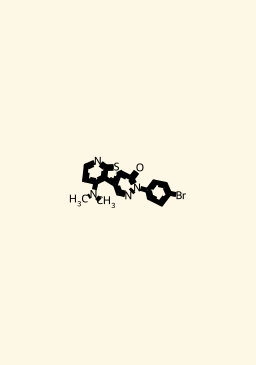 CN(C)c1ccnc2sc3c(=O)n(-c4ccc(Br)cc4)ncc3c12